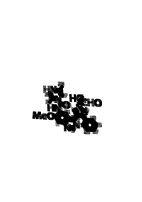 COc1cc2ncnc(-c3cn(C)nc3-c3ccccc3)c2cc1NC(=O)N1C[C@H](C)NC[C@@H]1C.O=CO